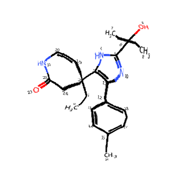 CCC1(c2[nH]c(C(C)(C)O)nc2-c2ccc(C)cc2)C=CNC(=O)C1